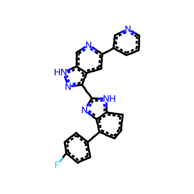 Fc1ccc(-c2cccc3[nH]c(-c4n[nH]c5cnc(-c6cccnc6)cc45)nc23)cc1